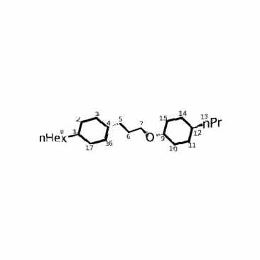 CCCCCC[C@H]1CC[C@H](CCCO[C@H]2CC[C@H](CCC)CC2)CC1